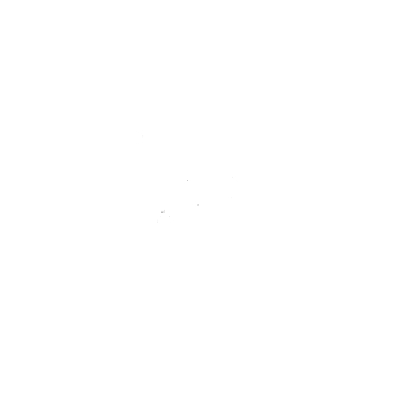 CC1=C[C]([Ti+3])([Si](C)(C)c2ccccc2)C(C)=C1.[Cl-].[Cl-].[Cl-]